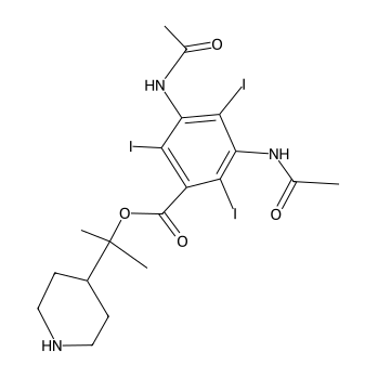 CC(=O)Nc1c(I)c(NC(C)=O)c(I)c(C(=O)OC(C)(C)C2CCNCC2)c1I